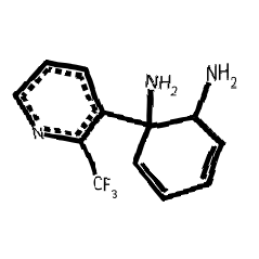 NC1C=CC=CC1(N)c1cccnc1C(F)(F)F